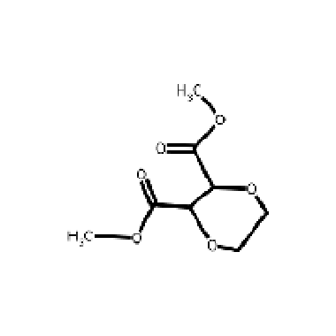 COC(=O)C1OCCOC1C(=O)OC